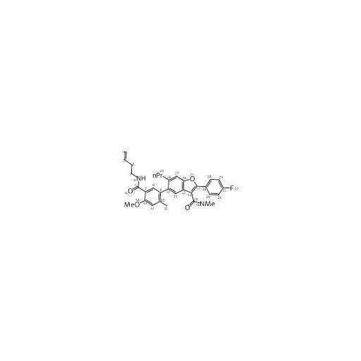 C=CCCNC(=O)c1cc(-c2cc3c(C(=O)NC)c(-c4ccc(F)cc4)oc3cc2CCC)c(C)cc1OC